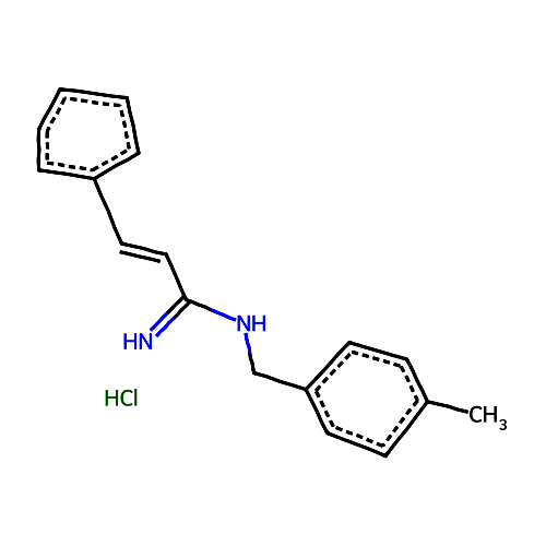 Cc1ccc(CNC(=N)/C=C/c2ccccc2)cc1.Cl